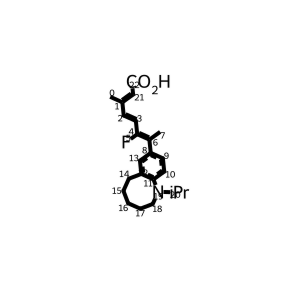 CC(C=CC(F)=C(C)c1ccc2c(c1)CCCCCN2C(C)C)=CC(=O)O